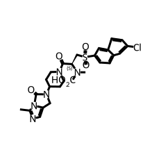 Cc1ncc2n1C(=O)N(C1CCN(C(=O)[C@@H](CS(=O)(=O)c3ccc4cc(Cl)ccc4c3)N(C)C(=O)O)CC1)C2